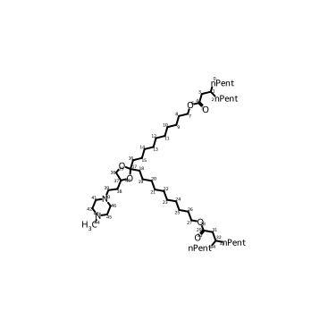 CCCCCC(CCCCC)CC(=O)OCCCCCCCCCCC1(CCCCCCCCCCOC(=O)CC(CCCCC)CCCCC)OCC(CCN2CCN(C)CC2)O1